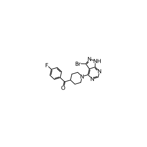 O=C(c1ccc(F)cc1)C1CCN(c2ncnc3[nH]nc(Br)c23)CC1